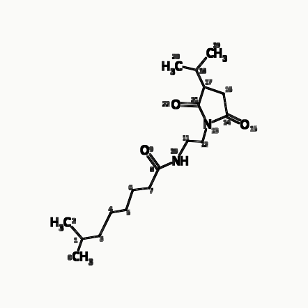 CC(C)CCCCCC(=O)NCCN1C(=O)CC(C(C)C)C1=O